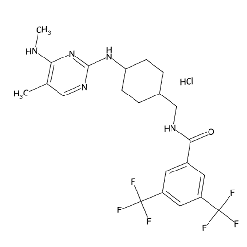 CNc1nc(NC2CCC(CNC(=O)c3cc(C(F)(F)F)cc(C(F)(F)F)c3)CC2)ncc1C.Cl